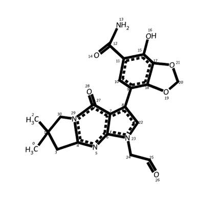 CC1(C)Cc2nc3c(c(-c4cc(C(N)=O)c(O)c5c4OCO5)cn3CC=O)c(=O)n2C1